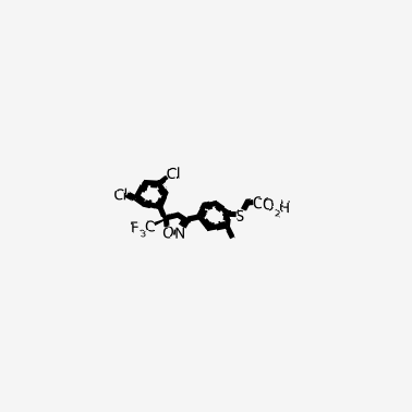 Cc1cc(C2=NO[C@@](c3cc(Cl)cc(Cl)c3)(C(F)(F)F)C2)ccc1SCC(=O)O